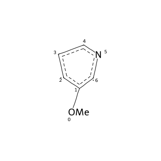 COc1[c]ccn[c]1